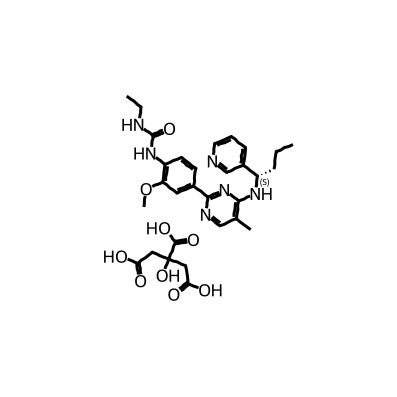 CCC[C@H](Nc1nc(-c2ccc(NC(=O)NCC)c(OC)c2)ncc1C)c1cccnc1.O=C(O)CC(O)(CC(=O)O)C(=O)O